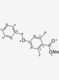 COC(=O)c1c(C)cc(OCc2ccccc2)cc1C